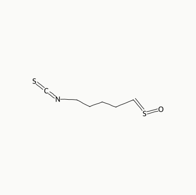 O=S=CCCCCN=C=S